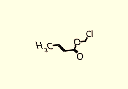 CC=CC(=O)OCCl